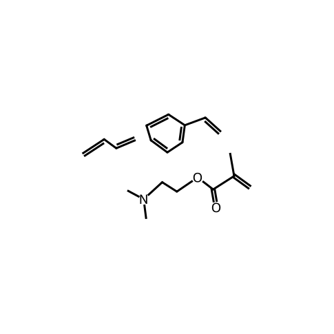 C=C(C)C(=O)OCCN(C)C.C=CC=C.C=Cc1ccccc1